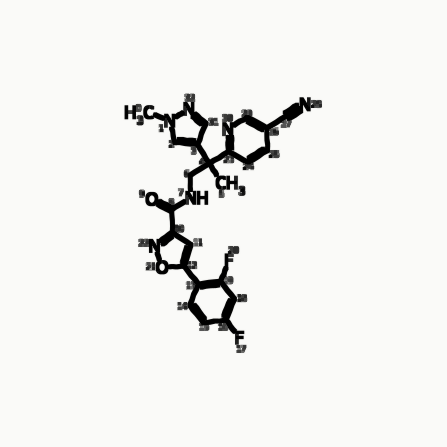 Cn1cc(C(C)(CNC(=O)c2cc(-c3ccc(F)cc3F)on2)c2ccc(C#N)cn2)cn1